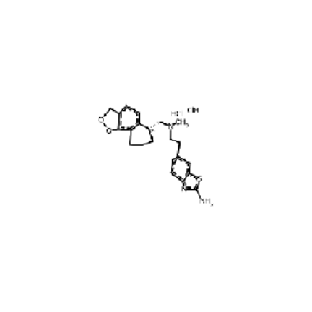 CN(CCc1ccc2nc(N)sc2c1)C[C@@H]1CCCc2c1ccc1c2OOC1.Cl.Cl